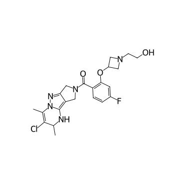 CC1=C(Cl)C(C)Nc2c3c(nn21)CN(C(=O)c1ccc(F)cc1OC1CN(CCO)C1)C3